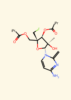 C=C1N=C(N)C=CN1[C@@H]1O[C@](CF)(COC(=O)C(C)C)[C@@H](OC(=O)C(C)C)[C@@]1(C)O